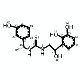 C[C@@H](NC(=S)NCC(O)c1cccc(O)c1O)c1cccc(O)c1